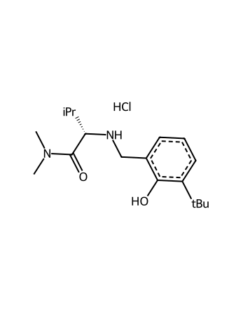 CC(C)[C@H](NCc1cccc(C(C)(C)C)c1O)C(=O)N(C)C.Cl